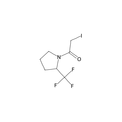 O=C(CI)N1CCCC1C(F)(F)F